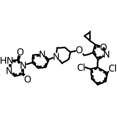 O=c1cn[nH]c(=O)n1-c1ccc(N2CCC(OCc3c(-c4c(Cl)cccc4Cl)noc3C3CC3)CC2)nc1